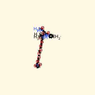 [CH2]c1ccc(NC(=O)[C@H](CCCNC(N)=O)NC(=O)[C@@H](NC(=O)CCOCCOCCOCCOCCOCCOCCN2C(=O)C=CC2=O)C(C)C)cc1